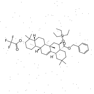 CC[Si](CC)(CC)O[C@@H]1C[C@]2(C)C(=CC[C@@H]3[C@@]4(C)CC[C@H](OC(=O)C(F)(F)F)C(C)(C)[C@@H]4CC[C@]32C)[C@@H]2CC(C)(C)CC[C@]12C(=O)OCc1ccccc1